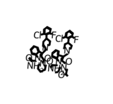 CC1CN(C(=O)c2c(CN3CCC(c4c(F)cccc4Cl)CC3)c3ccccc3n2CC(N)=O)CC(C)O1.NC(=O)Cn1c(C(=O)N2CCCCC2)c(CN2CCC(c3c(F)cccc3Cl)CC2)c2ccccc21